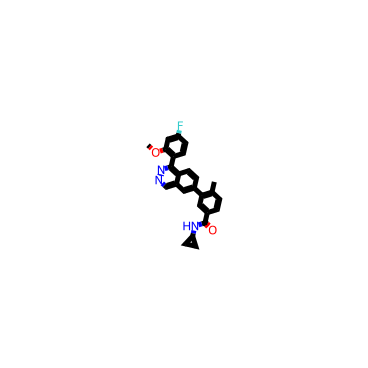 COc1cc(F)ccc1-c1nncc2cc(-c3cc(C(=O)NC4CC4)ccc3C)ccc12